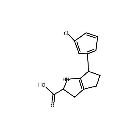 O=C(O)C1CC2=C(N1)C(c1cccc(Cl)c1)CC2